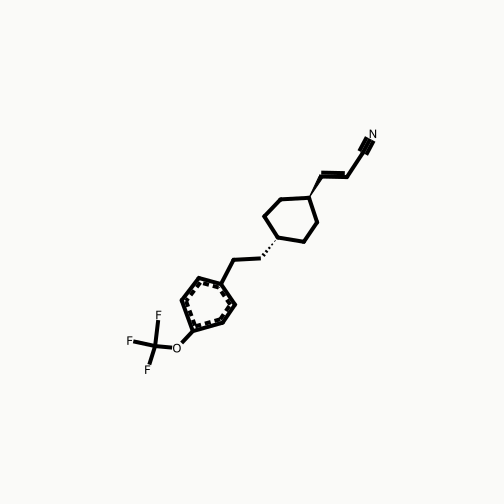 N#CC=C[C@H]1CC[C@H](CCc2ccc(OC(F)(F)F)cc2)CC1